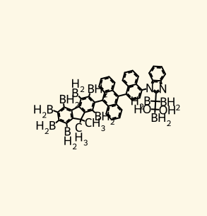 Bc1c(B)c(B)c2c(c1B)-c1c(B)c(B)c(-c3c4ccccc4c(-c4ccc(-n5c(C(B)(B)C(B)(O)O)nc6ccccc65)c5ccccc45)c4ccccc34)c(B)c1C2(C)C